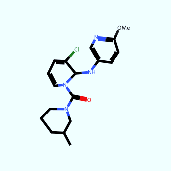 COc1ccc(NC2C(Cl)=CC=CN2C(=O)N2CCCC(C)C2)cn1